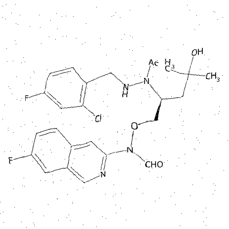 CC(=O)N(NCc1ccc(F)cc1Cl)[C@H](CON(C=O)c1cc2ccc(F)cc2cn1)CC(C)(C)O